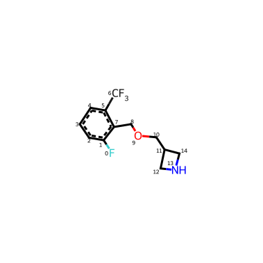 Fc1cccc(C(F)(F)F)c1COCC1CNC1